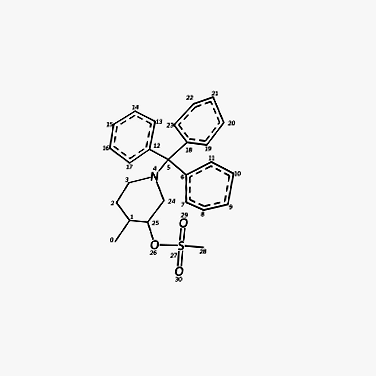 CC1CCN(C(c2ccccc2)(c2ccccc2)c2ccccc2)CC1OS(C)(=O)=O